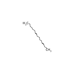 [CH2]CCCCCC=CCCCCC=CCCC